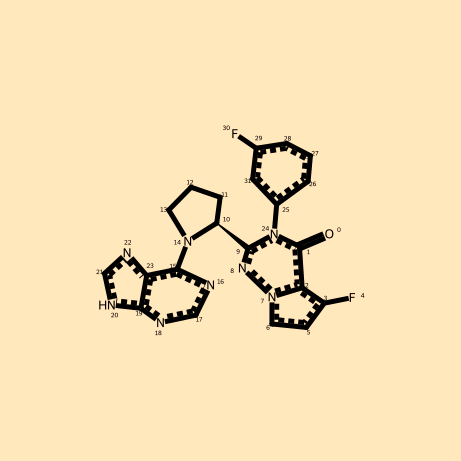 O=c1c2c(F)ccn2nc([C@@H]2CCCN2c2ncnc3[nH]cnc23)n1-c1cccc(F)c1